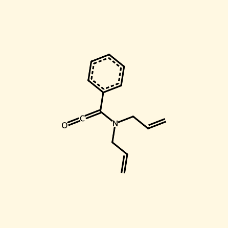 C=CCN(CC=C)C(=C=O)c1ccccc1